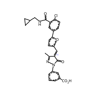 CC1=NN(c2cccc(C(=O)O)c2)C(=O)/C1=C/c1ccc(-c2ccc(Cl)c(C(=O)NCC3CC3)c2)o1